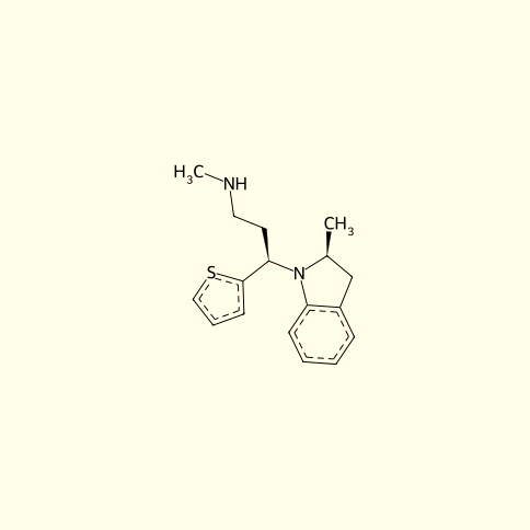 CNCC[C@H](c1cccs1)N1c2ccccc2C[C@@H]1C